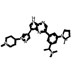 CC(c1cc(-c2cnc3[nH]cc(-c4cnn(C5CCN(C)CC5)c4)c3n2)cc(N2CCC[C@H]2C)c1)N(C)C